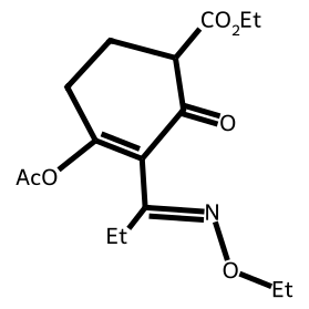 CCON=C(CC)C1=C(OC(C)=O)CCC(C(=O)OCC)C1=O